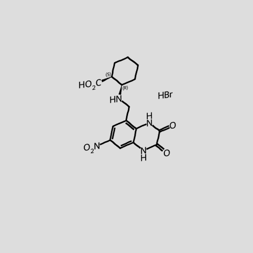 Br.O=C(O)[C@H]1CCCC[C@H]1NCc1cc([N+](=O)[O-])cc2[nH]c(=O)c(=O)[nH]c12